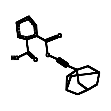 O=C(O)c1ccccc1C(=O)OC#CC12CC3CC(CC(C3)C1)C2